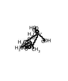 CCN1/C(=C/C=C/C=C/C=C/C2=[N+](CCCCCC(=O)O)c3ccc(S(=O)(=O)O)cc3C2(C)CCOCCOCCOC)C(C)(CCOCCOCCOC)c2cc(S(=O)(=O)O)ccc21